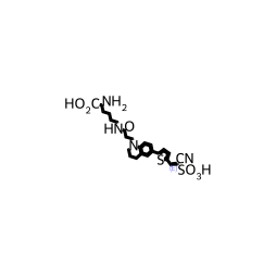 N#C/C(=C\c1ccc(-c2ccc3c(c2)CCCN3CCC(=O)NCCCCC(N)C(=O)O)s1)S(=O)(=O)O